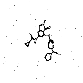 CN1Cc2nc(NC(=O)C3CC3)cc(Nc3ccc(C(=O)N4CCCC4)cc3)c2C1=O